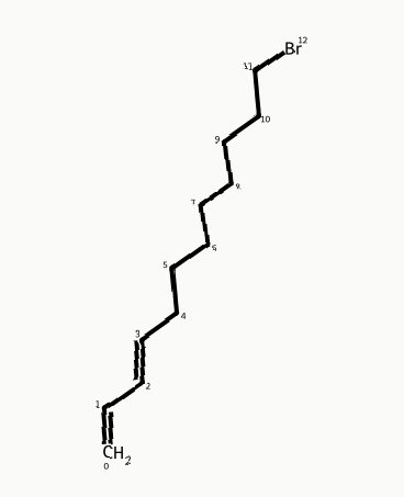 C=CC=CCCCCCCCCBr